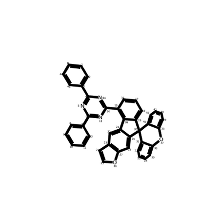 c1ccc(-c2nc(-c3ccccc3)nc(-c3cccc4c3-c3cc5ccoc5cc3C43c4ccccc4Oc4ccccc43)n2)cc1